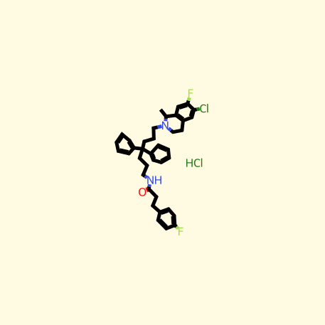 CC1c2cc(F)c(Cl)cc2CCN1CCCC(CCCNC(=O)CCc1ccc(F)cc1)(c1ccccc1)c1ccccc1.Cl